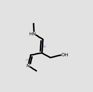 C/N=C\C(=C/NC)CO